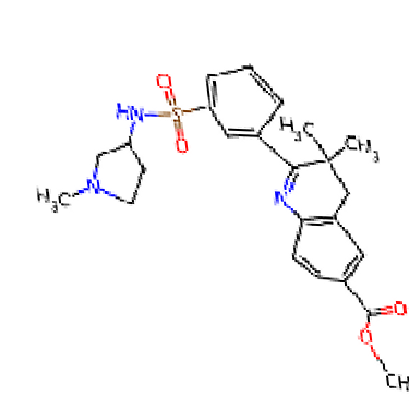 COC(=O)c1ccc2c(c1)CC(C)(C)C(c1cccc(S(=O)(=O)NC3CCN(C)C3)c1)=N2